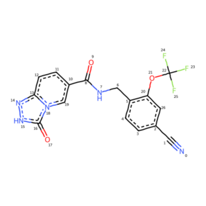 N#Cc1ccc(CNC(=O)c2ccc3n[nH]c(=O)n3c2)c(OC(F)(F)F)c1